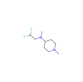 CN1CCC(N(C)CC(F)F)CC1